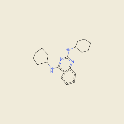 c1ccc2c(NC3CCCCC3)nc(NC3CCCCC3)nc2c1